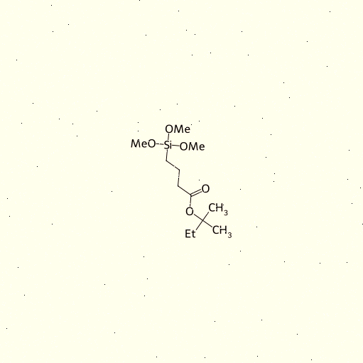 CCC(C)(C)OC(=O)CCC[Si](OC)(OC)OC